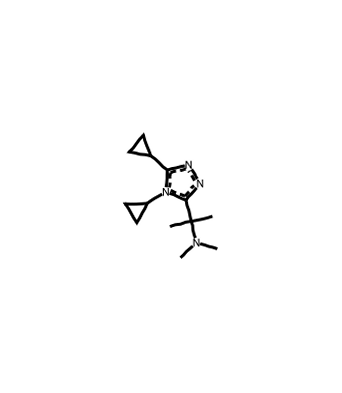 CN(C)C(C)(C)c1nnc(C2CC2)n1C1CC1